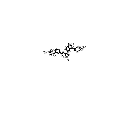 CCCS(=O)(=O)Nc1cccc(-c2cnc3[nH]cc(-c4ccc5ncn(C6CCCNC6)c5c4)c3c2)c1